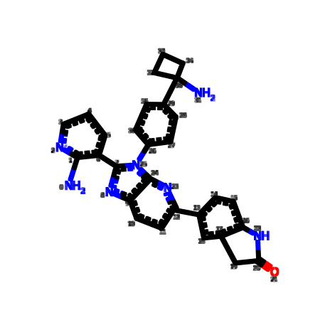 Nc1ncccc1-c1nc2ccc(-c3ccc4c(c3)CC(=O)N4)nc2n1-c1ccc(C2(N)CCC2)cc1